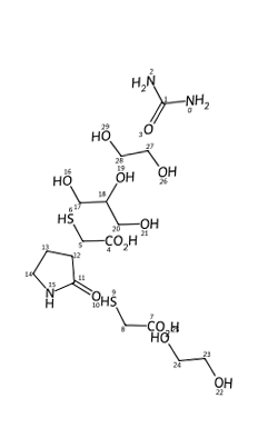 NC(N)=O.O=C(O)CS.O=C(O)CS.O=C1CCCN1.OCC(O)CO.OCCO.OCCO